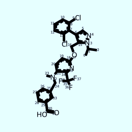 CC(C)n1ncc(-c2c(Cl)cccc2Cl)c1COc1ccc(N(C)Cc2cccc(C(=O)O)c2)c(C(F)(F)F)n1